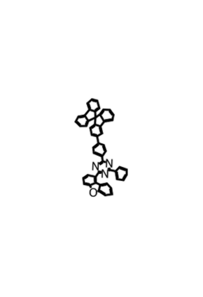 c1ccc(-c2nc(-c3ccc(-c4ccc5c(c4)-c4ccccc4C54c5ccccc5-c5ccccc54)cc3)nc(-c3cccc4oc5ccccc5c34)n2)cc1